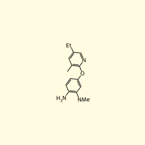 CCc1cnc(Oc2ccc(N)c(NC)c2)c(C)c1